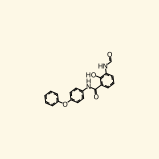 O=CNc1cccc(C(=O)Nc2ccc(Oc3ccccc3)cc2)c1O